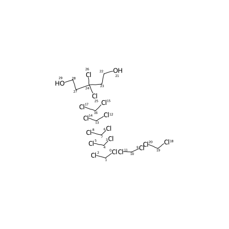 ClCCl.ClCCl.ClCCl.ClCCl.ClCCl.ClCCl.ClCCl.OCCC(Cl)(Cl)CCO